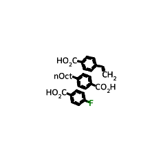 C=Cc1ccc(C(=O)O)cc1.CCCCCCCCc1ccc(C(=O)O)cc1.O=C(O)c1ccc(F)cc1